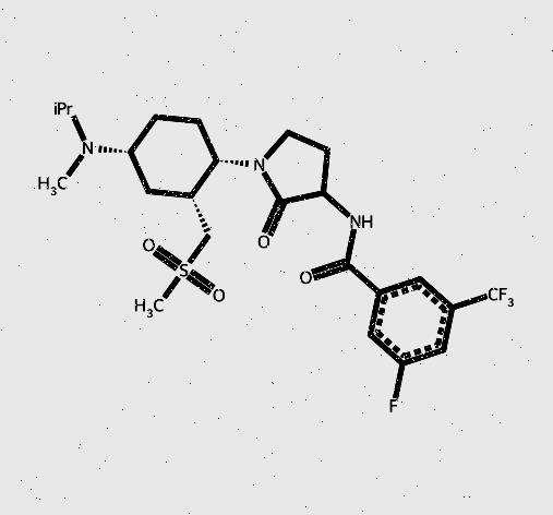 CC(C)N(C)[C@@H]1CC[C@H](N2CCC(NC(=O)c3cc(F)cc(C(F)(F)F)c3)C2=O)[C@H](CS(C)(=O)=O)C1